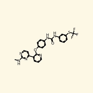 CNc1nccc(-c2cccnc2Oc2ccc(NC(=O)Nc3cccc(SC(F)(F)F)c3)cc2)n1